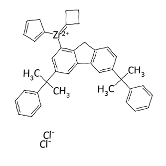 CC(C)(c1ccccc1)c1ccc2c(c1)-c1cc(C(C)(C)c3ccccc3)c[c]([Zr+2]([C]3=CC=CC3)=[C]3CCC3)c1C2.[Cl-].[Cl-]